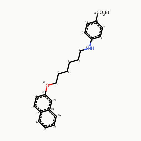 CCOC(=O)c1ccc(NCCCCCCOc2ccc3ccccc3c2)cc1